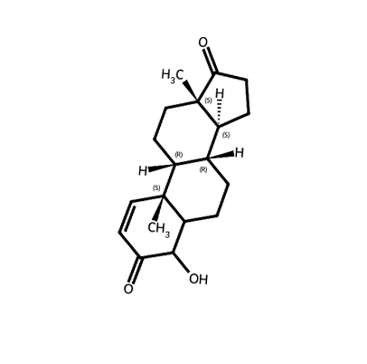 C[C@]12C=CC(=O)C(O)C1CC[C@@H]1[C@H]2CC[C@]2(C)C(=O)CC[C@@H]12